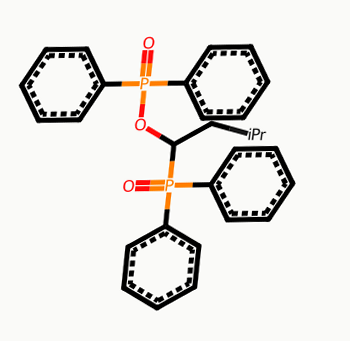 CC(C)CC(OP(=O)(c1ccccc1)c1ccccc1)P(=O)(c1ccccc1)c1ccccc1